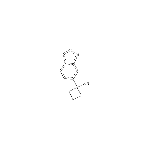 N#CC1(c2ccn3ccnc3c2)CCC1